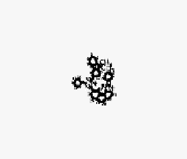 CC1(C)c2ccccc2-c2cc(-c3nc(-c4ccccc4)nc(-c4ccc5ccc6ccc7nn(-c8ccccc8)nc7c6c5c4)n3)ccc21